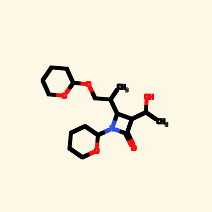 CC(O)C1C(=O)N(C2CCCCO2)C1C(C)COC1CCCCO1